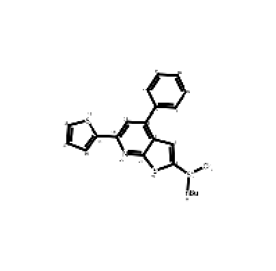 CCCC[S+]([O-])c1cc2c(-c3ccccc3)cc(-c3cccs3)nc2s1